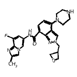 Cc1cn2cc(NC(=O)c3ccc(N4CCNCC4)c4cn(CC5COC5)nc34)cc(F)c2n1